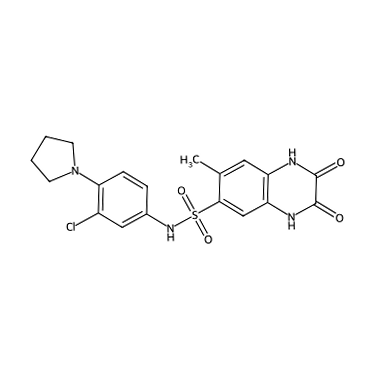 Cc1cc2[nH]c(=O)c(=O)[nH]c2cc1S(=O)(=O)Nc1ccc(N2CCCC2)c(Cl)c1